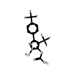 CC(=O)Oc1c(C(F)(F)F)c(-c2ccc(C(F)(F)F)cc2)nn1C